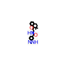 CC1(C)CCc2cccc3c2C1(CCNC(=O)c1ccc2nc[nH]c2c1)O3